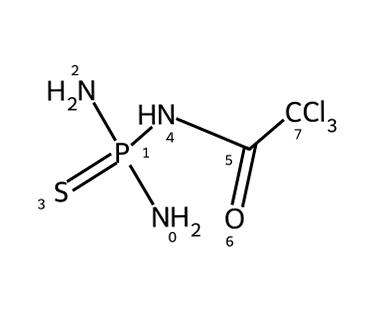 NP(N)(=S)NC(=O)C(Cl)(Cl)Cl